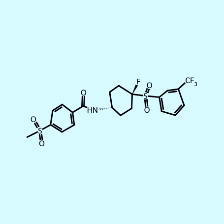 CS(=O)(=O)c1ccc(C(=O)N[C@H]2CC[C@@](F)(S(=O)(=O)c3cccc(C(F)(F)F)c3)CC2)cc1